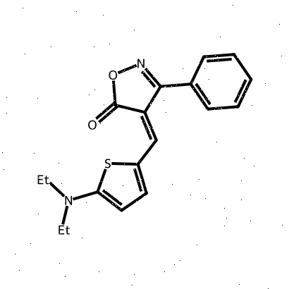 CCN(CC)c1ccc(C=C2C(=O)ON=C2c2ccccc2)s1